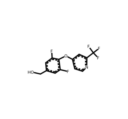 OCc1cc(F)c(Oc2ccnc(C(F)(F)F)c2)c(F)c1